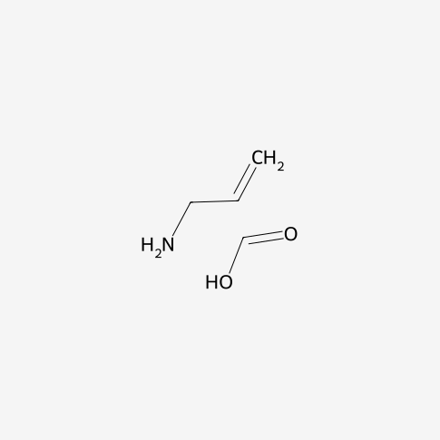 C=CCN.O=CO